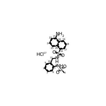 CS(=O)(=O)Nc1ccccc1CNS(=O)(=O)c1cccc2c(N)cccc12.Cl